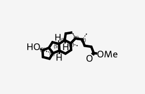 COC(=O)CC[C@@H](C)[C@H]1CC[C@H]2[C@@H]3CC4[C@H](O)CC[C@]4(C)[C@H]3CC[C@]12C